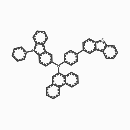 c1ccc(-n2c3ccccc3c3cc(N(c4ccc(-c5ccc6sc7ccccc7c6c5)cc4)c4cc5ccccc5c5ccccc45)ccc32)cc1